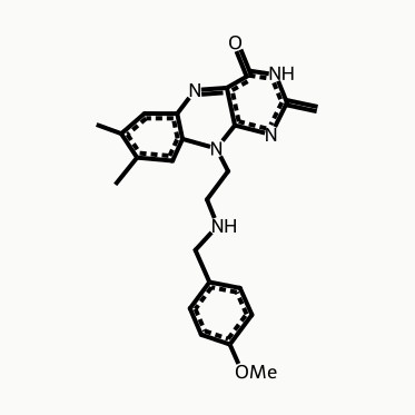 C=c1nc2c(c(=O)[nH]1)=Nc1cc(C)c(C)cc1N2CCNCc1ccc(OC)cc1